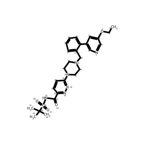 CCOc1cncc(-c2ccccc2CN2CCN(c3ccc(C(=O)NS(=O)(=O)C(C)(C)C)nn3)CC2)c1